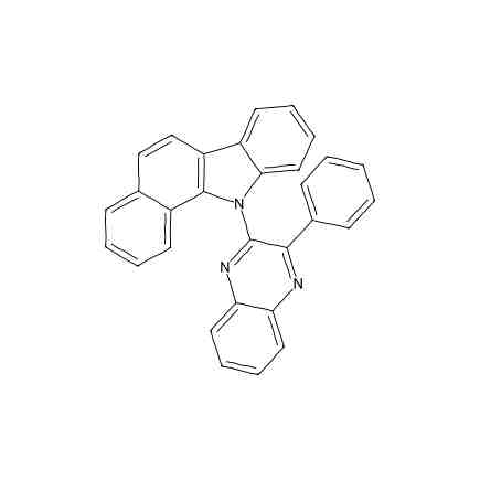 c1ccc(-c2nc3ccccc3nc2-n2c3ccccc3c3ccc4ccccc4c32)cc1